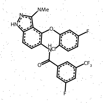 CNc1n[nH]c2ccc(NC(=O)c3cc(F)cc(C(F)(F)F)c3)c(Oc3cc(F)ccc3Cl)c12